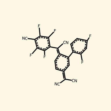 N#CC(C#N)=c1cc/c(=C(/C#N)c2c(F)c(F)c(C#N)c(F)c2F)c(-c2ccc(F)cc2F)c1